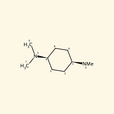 CN[C@H]1CC[C@@H](N(C)C)CC1